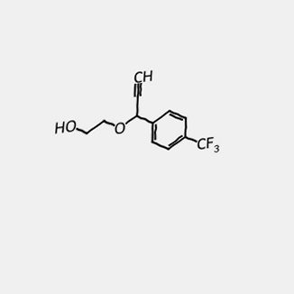 C#CC(OCCO)c1ccc(C(F)(F)F)cc1